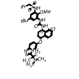 COc1c(NC(=O)N[C@H]2CC[C@@H](Oc3ccc4nnc(C(C)(C)N(C)C)n4c3)c3ccccc32)cc(C(C)(C)C)cc1NS(=O)(=O)CC(C)C.Cl